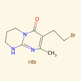 Br.Cc1nc2n(c(=O)c1CCBr)CCCN2